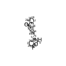 CC(=O)N[C@@H](CCN1CC2CN(C(=O)c3c(C)cccc3C)CC2C1)c1cccc(F)c1